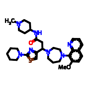 COc1ccc2cccnc2c1N1CCCN(C(CC(=O)NC2CCN(C)CC2)c2csc(N3CCCCC3)n2)CC1